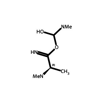 CNC(O)OC(=N)[C@@H](C)NC